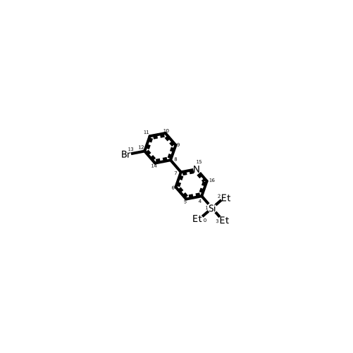 CC[Si](CC)(CC)c1ccc(-c2cccc(Br)c2)nc1